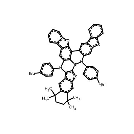 CC(C)(C)c1ccc(N2B3c4sc5cc6c(cc5c4N(c4ccc(C(C)(C)C)cc4)c4cc5c(oc7ccccc75)c(c43)-c3cc4c(cc32)sc2ccccc24)C(C)(C)CCC6(C)C)cc1